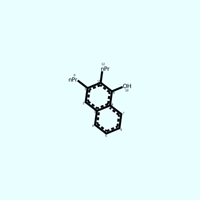 CCCc1cc2ccccc2c(O)c1CCC